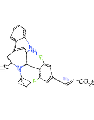 CCOC(=O)/C=C/c1cc(F)c(C2c3[nH]c4ccccc4c3CC(C)N2C23CC(C2)C3)c(F)c1